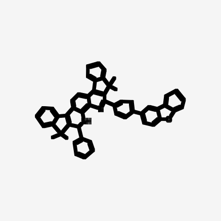 CC1(C)C2=C(c3ccccc31)c1ccc3c4c(c(-c5ccc(-c6ccc7oc8ccccc8c7c6)cc5)nc3c1NC2c1ccccc1)C(C)(C)c1ccccc1-4